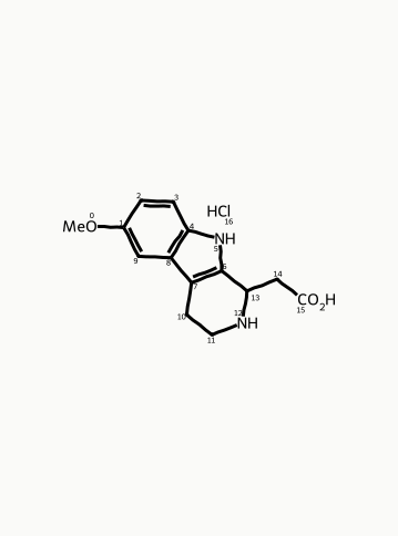 COc1ccc2[nH]c3c(c2c1)CCNC3CC(=O)O.Cl